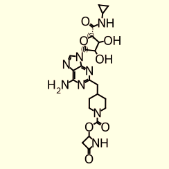 Nc1nc(CC2CCN(C(=O)OC3CC(=O)N3)CC2)nc2c1ncn2[C@@H]1O[C@H](C(=O)NC2CC2)C(O)C1O